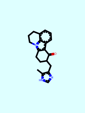 Cc1[nH]cnc1CC1CCc2c(c3cccc4c3n2CCC4)C1=O